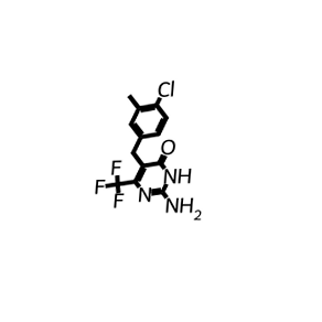 Cc1cc(Cc2c(C(F)(F)F)nc(N)[nH]c2=O)ccc1Cl